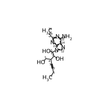 CCC#CC(CO)C(O)C(O)n1cnc2c(N)nc(SC)nc21